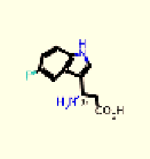 N[C@@H](CC(=O)O)c1c[nH]c2ccc(F)cc12